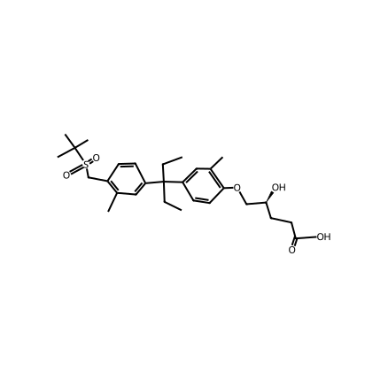 CCC(CC)(c1ccc(CS(=O)(=O)C(C)(C)C)c(C)c1)c1ccc(OC[C@@H](O)CCC(=O)O)c(C)c1